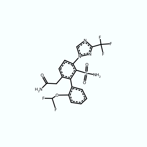 NC(=O)Cc1ccc(-n2cnc(C(F)(F)F)n2)c(S(N)(=O)=O)c1-c1ccccc1OC(F)F